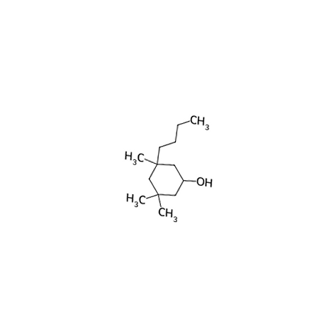 CCCCC1(C)CC(O)CC(C)(C)C1